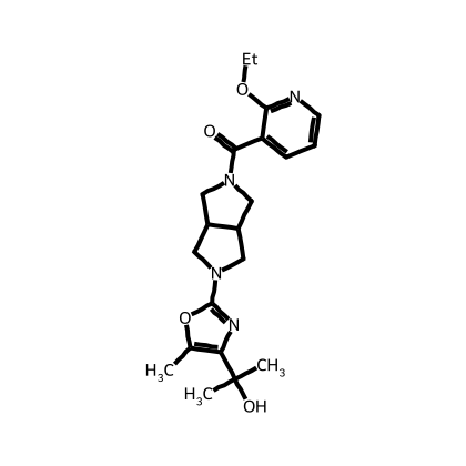 CCOc1ncccc1C(=O)N1CC2CN(c3nc(C(C)(C)O)c(C)o3)CC2C1